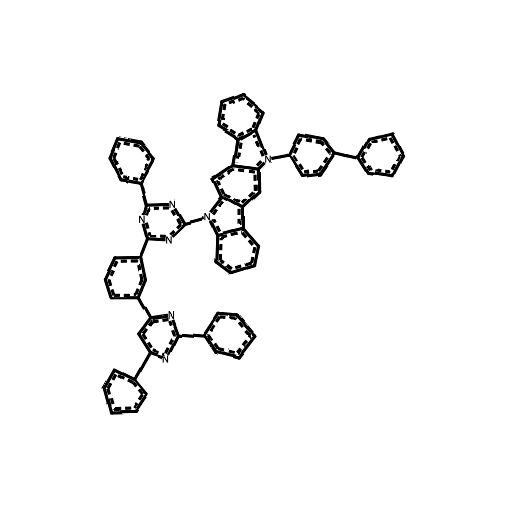 c1ccc(-c2ccc(-n3c4ccccc4c4cc5c(cc43)c3ccccc3n5-c3nc(-c4ccccc4)nc(-c4cccc(-c5cc(-c6ccccc6)nc(-c6ccccc6)n5)c4)n3)cc2)cc1